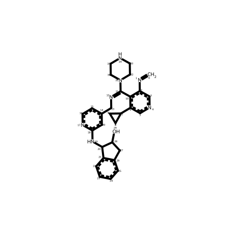 C=Nc1cncc(C2CC2)c1/C(=N\Cc1ccnc(NC2c3ccccc3CC2O)c1)N1CCNCC1